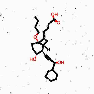 CCCCO[C@]12CC[C@@H](O)[C@H](C#CC(O)C3CCCCC3)[C@H]1CC2=CCCC(=O)O